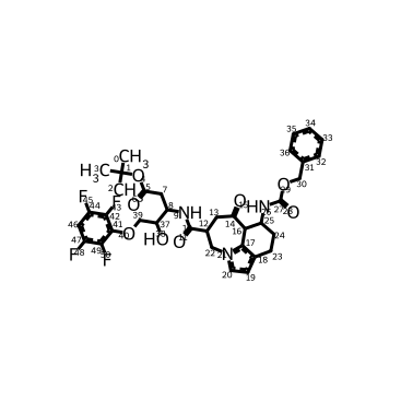 CC(C)(C)OC(=O)CC(NC(=O)C1CC(=O)C2c3c(ccn3C1)CCC2NC(=O)OCc1ccccc1)C(O)COc1c(F)c(F)cc(F)c1F